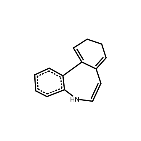 C1=CC2=CCCC=C2c2ccccc2N1